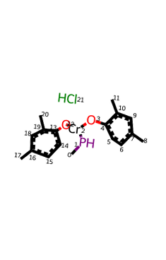 C[PH][Cr]([O]c1ccc(C)cc1C)[O]c1ccc(C)cc1C.Cl